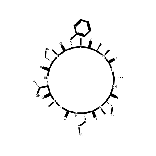 CC(C)C[C@H]1C(=O)N[C@@H](C)CC(=O)N(C)[C@H](C)C(=O)N(C)[C@@H](Cc2ccccc2)C(=O)N(C)[C@@H](CC(C)C)C(=O)N[C@@H]([C@@H](C)O)C(=O)N(C)CC(=O)N[C@@H](COC(C)(C)C)C(=O)N1C